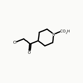 O=C(CCl)C1CCN(C(=O)O)CC1